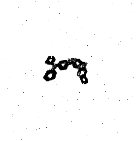 O=c1c(Cc2ccccc2)nc2c[nH]c(-c3ccc(N(c4ccccc4)c4ccccc4)cc3)cn1-2